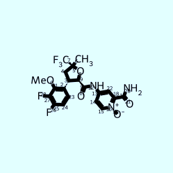 COc1c([C@@H]2C[C@@](C)(C(F)(F)F)O[C@H]2C(=O)Nc2cc[n+]([O-])c(C(N)=O)c2)ccc(F)c1F